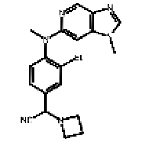 CCc1cc(C(C#N)N2CCC2)ccc1N(C)c1cc2c(cn1)ncn2C